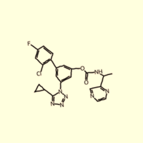 CC(NC(=O)Oc1cc(-c2ccc(F)cc2Cl)cc(-n2nnnc2C2CC2)c1)c1cnccn1